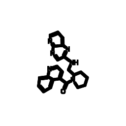 O=C(c1ccnc2ccccc12)N1CCCCC1CNc1cnc2ncccc2n1